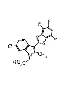 Cc1c(-c2nc3c(F)c(F)cc(F)c3s2)c2ccc(Cl)cc2n1CC(=O)O